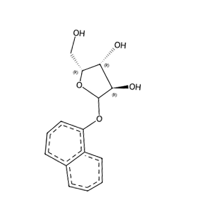 OC[C@H]1OC(Oc2cccc3ccccc23)[C@H](O)[C@H]1O